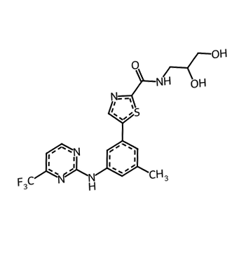 Cc1cc(Nc2nccc(C(F)(F)F)n2)cc(-c2cnc(C(=O)NCC(O)CO)s2)c1